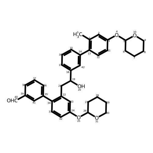 Cc1cc(OC2CCCCO2)ccc1-c1cccc(C(O)Cc2cc(OC3CCCCO3)ccc2-c2cccc(C=O)c2)c1